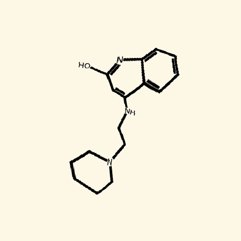 Oc1cc(NCCN2CCCCC2)c2ccccc2n1